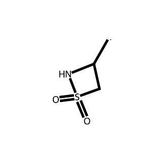 [CH2]C1CS(=O)(=O)N1